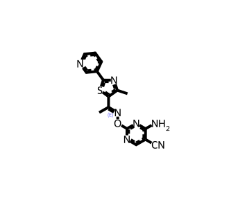 C/C(=N\Oc1ncc(C#N)c(N)n1)c1sc(-c2cccnc2)nc1C